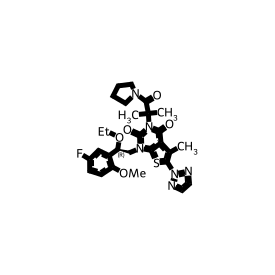 CCO[C@@H](Cn1c(=O)n(C(C)(C)C(=O)N2CCCC2)c(=O)c2c(C)c(-n3nccn3)sc21)c1cc(F)ccc1OC